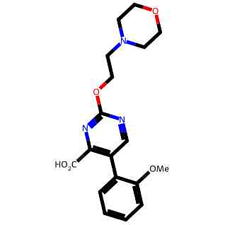 COc1ccccc1-c1cnc(OCCN2CCOCC2)nc1C(=O)O